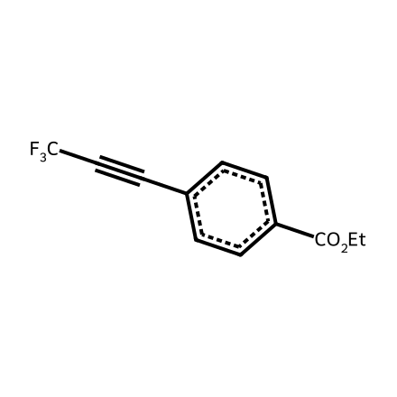 CCOC(=O)c1ccc(C#CC(F)(F)F)cc1